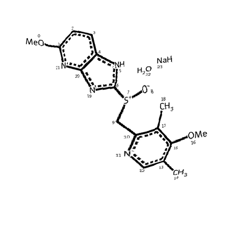 COc1ccc2[nH]c([S+]([O-])Cc3ncc(C)c(OC)c3C)nc2n1.O.[NaH]